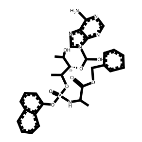 CC(NP(=O)(Oc1cccc2ccccc12)OC(C)[C@@H](OC(O)n1cnc2c(N)ncnc21)C(C)O)C(=O)OCc1ccccc1